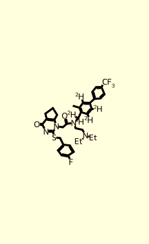 [2H]c1c([2H])c(C([2H])([2H])N(CCN(CC)CC)C(=O)Cn2c(SCc3ccc(F)cc3)nc(=O)c3c2CCC3)c(C)c([2H])c1-c1ccc(C(F)(F)F)cc1